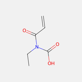 C=CC(=O)N(CC)C(=O)O